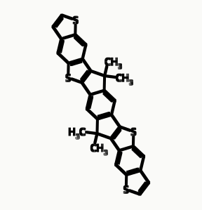 CC1(C)c2cc3c(cc2-c2sc4cc5ccsc5cc4c21)C(C)(C)c1c-3sc2cc3ccsc3cc12